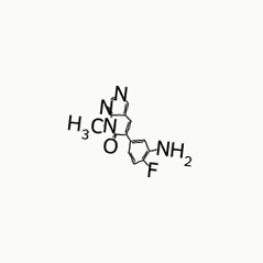 Cn1c(=O)c(-c2ccc(F)c(N)c2)cc2cncnc21